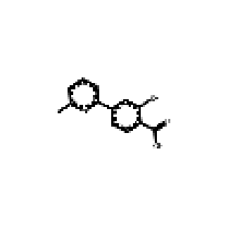 Cc1cccc(-c2ccc(C(=O)O)c(S)c2)n1